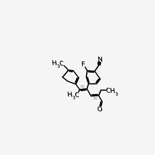 CC/C(C=O)=C\C(=C(/C)C1=CC=C(C)CC1)c1ccc(C#N)c(F)c1